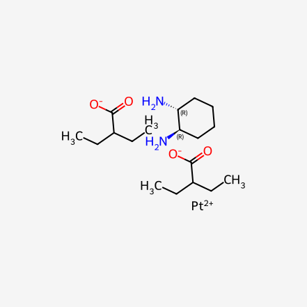 CCC(CC)C(=O)[O-].CCC(CC)C(=O)[O-].N[C@@H]1CCCC[C@H]1N.[Pt+2]